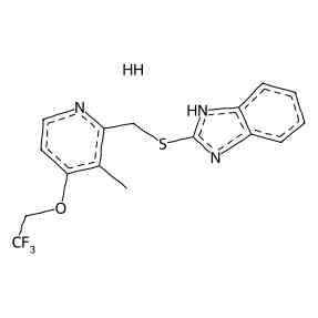 Cc1c(OCC(F)(F)F)ccnc1CSc1nc2ccccc2[nH]1.[HH]